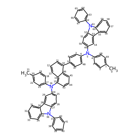 Cc1ccc(N(c2ccc(-c3cccc4c(N(c5ccc(C)cc5)c5ccc6c(c5)c5ccccc5n6-c5ccccc5)cccc34)cc2)c2ccc3c(c2)c2ccccc2n3-c2ccccc2)cc1